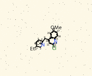 CCC1CN2CCC1CC2Cc1cc(Cl)nc2ccc(OC)cc12